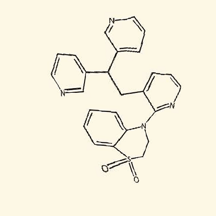 O=S1(=O)CCN(c2ncccc2CC(c2cccnc2)c2cccnc2)c2ccccc21